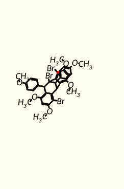 COc1ccc(C2c3c(OC)cc(OC)c(Br)c3C3c4c(OC)cc(OC)c(Br)c4C2(Br)C3c2ccc(OC)cc2)cc1